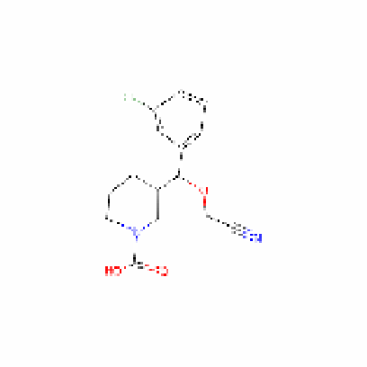 N#CCOC(c1cccc(Cl)c1)C1CCCN(C(=O)O)C1